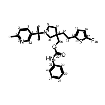 Cc1ccc(C(C)(C)N2CCC(CCc3ccc(F)s3)(COC(=O)Nc3ccccc3)C2)cn1